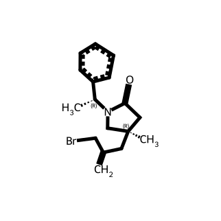 C=C(CBr)C[C@]1(C)CC(=O)N([C@H](C)c2ccccc2)C1